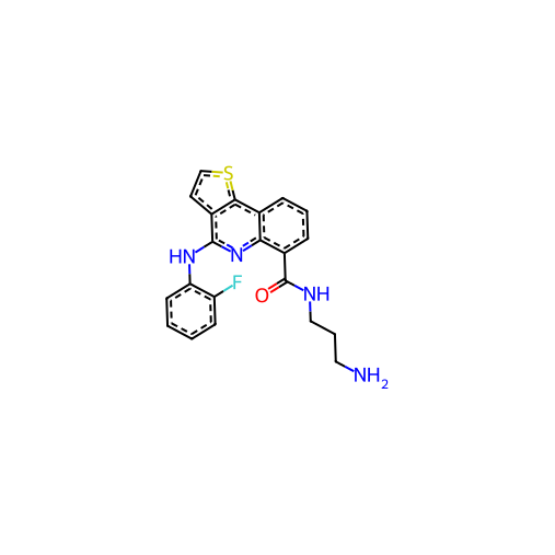 NCCCNC(=O)c1cccc2c1nc(Nc1ccccc1F)c1ccsc12